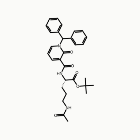 CC(=O)NCCC[C@H](NC(=O)c1cccn(C(c2ccccc2)c2ccccc2)c1=O)C(=O)OC(C)(C)C